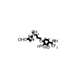 CCCc1c(OCCCN(C)c2ncc(C=O)s2)ccc(C(=N)C(F)(F)F)c1O